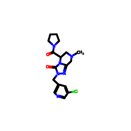 CN1Cc2nn(Cc3cncc(Cl)c3)c(=O)n2C(C(=O)N2CCCC2)C1